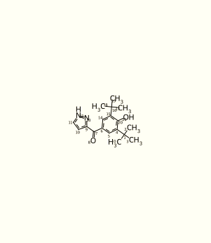 CC(C)(C)c1cc(C(=O)c2cc[nH]n2)cc(C(C)(C)C)c1O